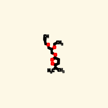 C#CCOCC(COC(=O)/C=C\C(=O)C(C)C)OCC